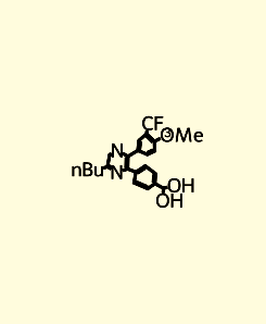 CCCCc1cnc(-c2ccc(OC)c(C(F)(F)F)c2)c(-c2ccc(C(O)O)cc2)n1